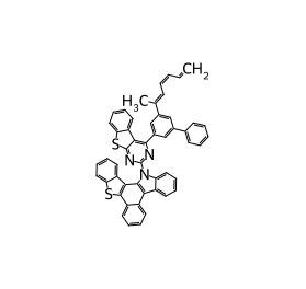 C=C/C=C\C=C(/C)c1cc(-c2ccccc2)cc(-c2nc(-n3c4ccccc4c4c5ccccc5c5sc6ccccc6c5c43)nc3sc4ccccc4c23)c1